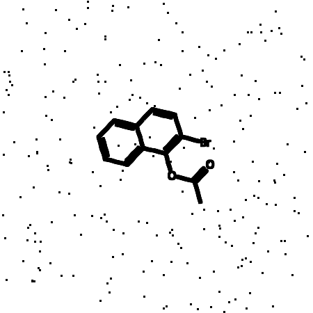 CC(=O)Oc1c(Br)ccc2ccccc12